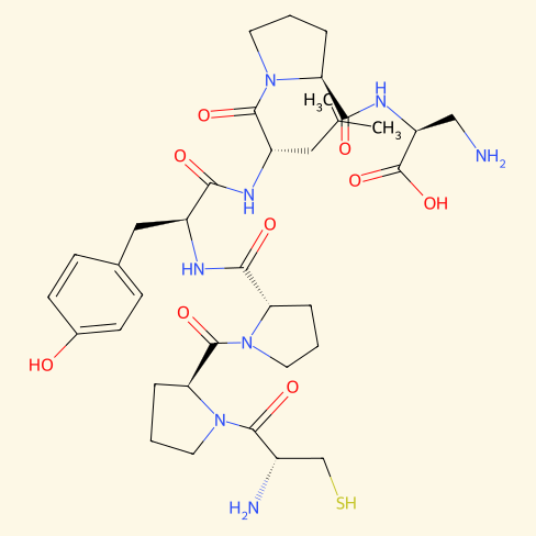 CC(C)C[C@H](NC(=O)[C@H](Cc1ccc(O)cc1)NC(=O)[C@@H]1CCCN1C(=O)[C@@H]1CCCN1C(=O)[C@@H](N)CS)C(=O)N1CCC[C@H]1C(=O)N[C@@H](CN)C(=O)O